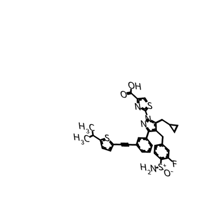 CC(C)c1ccc(C#Cc2cccc(-c3nn(-c4nc(C(=O)O)cs4)c(CC4CC4)c3Cc3ccc([S+](N)[O-])c(F)c3)c2)s1